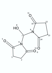 O=C1CCC(=O)N1C(O)N1C(=O)CCC1=O